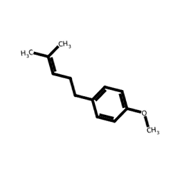 COc1ccc(CCC=C(C)C)cc1